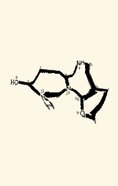 OC1CC2NCc3ccoc3N2N1